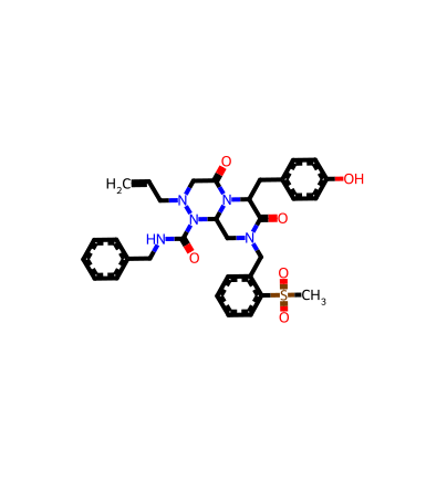 C=CCN1CC(=O)N2C(Cc3ccc(O)cc3)C(=O)N(Cc3ccccc3S(C)(=O)=O)CC2N1C(=O)NCc1ccccc1